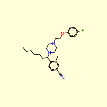 CCCCCCC(c1ccc(C#N)cc1C)N1CCN(CCOc2ccc(F)cc2)CC1